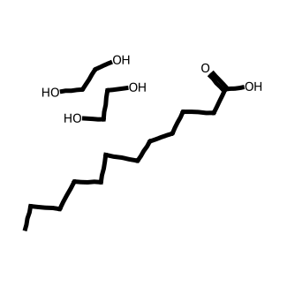 CCCCCCCCCCCC(=O)O.OCCO.OCCO